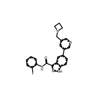 O=C(Nc1ccccc1F)c1n[nH]c2ccc(-c3cncc(CN4CCC4)c3)cc12